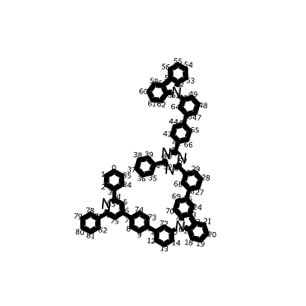 c1ccc(-c2cc(-c3ccc(-c4cccc(-n5c6ccccc6c6cc(-c7cccc(-c8nc(-c9ccccc9)nc(-c9ccc(-c%10cccc(-n%11c%12ccccc%12c%12ccccc%12%11)c%10)cc9)n8)c7)ccc65)c4)cc3)cc(-c3ccccc3)n2)cc1